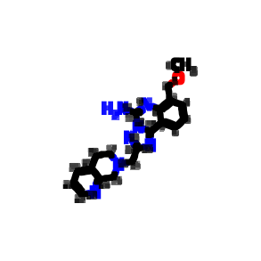 COCc1cccc2c1nc(N)n1nc(CN3CCc4cccnc4C3)nc21